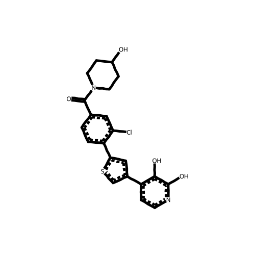 O=C(c1ccc(-c2cc(-c3ccnc(O)c3O)cs2)c(Cl)c1)N1CCC(O)CC1